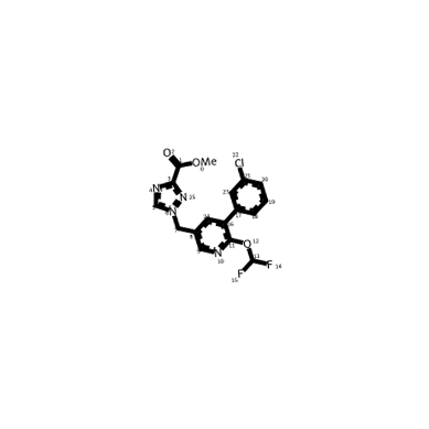 COC(=O)c1ncn(Cc2cnc(OC(F)F)c(-c3cccc(Cl)c3)c2)n1